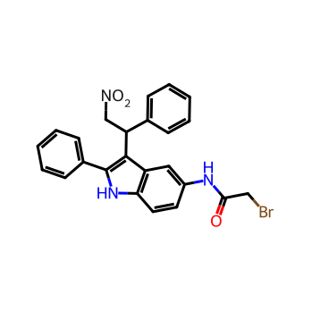 O=C(CBr)Nc1ccc2[nH]c(-c3ccccc3)c(C(C[N+](=O)[O-])c3ccccc3)c2c1